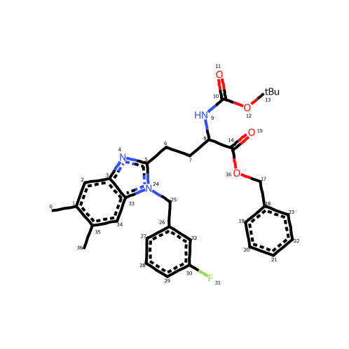 Cc1cc2nc(CCC(NC(=O)OC(C)(C)C)C(=O)OCc3ccccc3)n(Cc3cccc(F)c3)c2cc1C